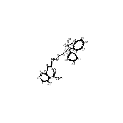 COC(=O)c1c(F)cncc1CC=NOCCO[Si](c1ccccc1)(c1ccccc1)C(C)(C)C